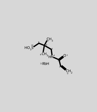 C=CC(=O)NCC(C)(C)CS(=O)(=O)O.[RbH]